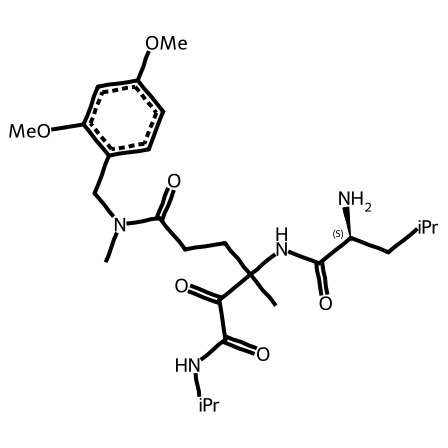 COc1ccc(CN(C)C(=O)CCC(C)(NC(=O)[C@@H](N)CC(C)C)C(=O)C(=O)NC(C)C)c(OC)c1